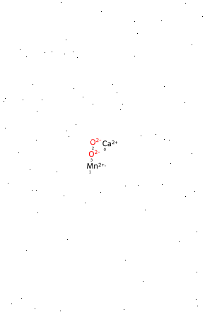 [Ca+2].[Mn+2].[O-2].[O-2]